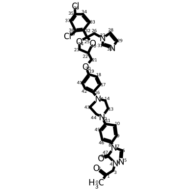 CC(=O)Cn1ncn(-c2ccc(N3CCN(c4ccc(OCC5COC(Cn6ccnc6)(c6ccc(Cl)cc6Cl)O5)cc4)CC3)cc2)c1=O